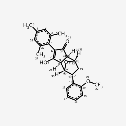 Cc1cc(C)c(C2=C(O)[C@@H]3[C@@H]4O[C@@H](C[C@H]4c4ccccc4OC(F)(F)F)[C@@H]3C2=O)c(C)c1